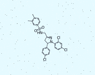 Cc1ccc(S(=O)(=O)NCC2=NN(c3ccc(Cl)cc3Cl)C(c3ccc(Cl)cc3)C2)cc1C